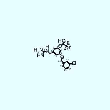 N=C(N)NCc1cccc(OCc2cccc(Cl)c2)c1.O=C(O)C(F)(F)F